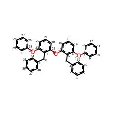 c1ccc(Cc2c(Oc3ccccc3)cccc2Oc2cccc(Oc3ccccc3)c2Cc2ccccc2)cc1